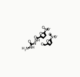 N=NC(=O)NN.O=Cc1ccc([N+](=O)[O-])o1.O=Cc1ccc([N+](=O)[O-])o1